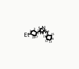 CCc1ccc(-c2cnn(Cc3ccccc3)n2)cc1